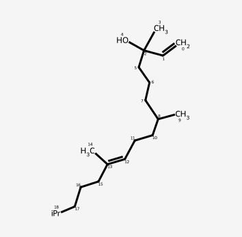 C=CC(C)(O)CCCC(C)CC/C=C(\C)CCCC(C)C